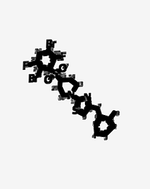 Cc1ccccc1Cc1csc(N2CCC(S(=O)(=O)c3c(F)c(Br)cc(F)c3Br)CC2)n1